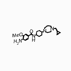 COc1cc(C(=O)NC2CCC(N3CCCN(CC4CC4)CC3)CC2)ccc1N